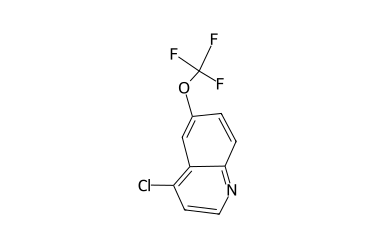 FC(F)(F)Oc1ccc2nccc(Cl)c2c1